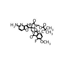 COc1ccc2c(c1F)C(=O)N(C[C@@]1(c3cc4nc(N)ccc4o3)NC(=O)N(COC(=O)C(C)(C)C)C1=O)C2